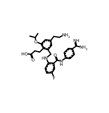 CC(C)Oc1cc(CCN)cc(CNc2ccc(F)cc2C(=O)Nc2ccc(C(=N)N)cc2)c1CCC(=O)O